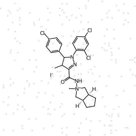 CC1C(C(=O)N[N+]2(C)C[C@H]3CCC[C@H]3C2)=NN(c2ccc(Cl)cc2Cl)C1c1ccc(Cl)cc1.[I-]